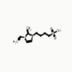 C=CN1C=CN(CCCCS(=O)(=O)O)C1C